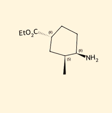 CCOC(=O)[C@@H]1CC[C@@H](N)[C@@H](C)C1